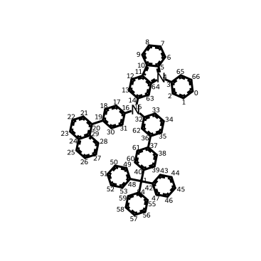 c1ccc(-n2c3ccccc3c3ccc(N(c4ccc(-c5cccc6ccccc56)cc4)c4cccc(-c5ccc(C(c6ccccc6)(c6ccccc6)c6ccccc6)cc5)c4)cc32)cc1